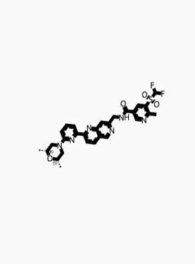 Cc1ncc(C(=O)NCc2cc3nc(-c4cccc(N5C[C@@H](C)O[C@@H](C)C5)n4)ccc3cn2)cc1S(=O)(=O)C(F)F